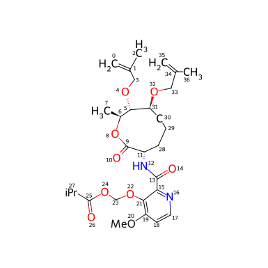 C=C(C)CO[C@H]1[C@H](C)OC(=O)[C@@H](NC(=O)c2nccc(OC)c2OCOC(=O)C(C)C)CCC[C@@H]1OCC(=C)C